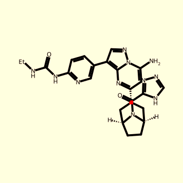 CCNC(=O)Nc1ccc(-c2cnn3c(N)cc([C@@H]4C[C@H]5CC[C@@H](C4)N5C(=O)c4nnc[nH]4)nc23)cn1